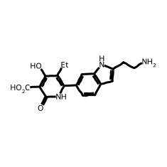 CCc1c(-c2ccc3cc(CCN)[nH]c3c2)[nH]c(=O)c(C(=O)O)c1O